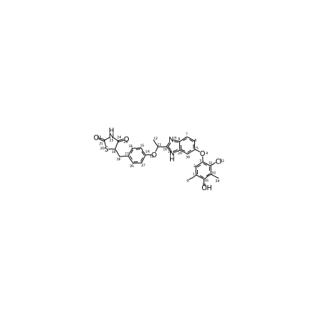 Cc1cc(Oc2ccc3nc(C(C)Oc4ccc(CC5SC(=O)NC5=O)cc4)[nH]c3c2)c(Cl)c(C)c1O